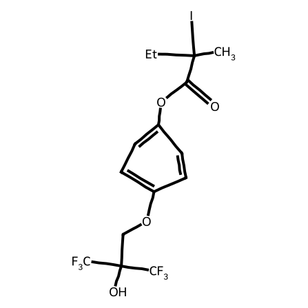 CCC(C)(I)C(=O)Oc1ccc(OCC(O)(C(F)(F)F)C(F)(F)F)cc1